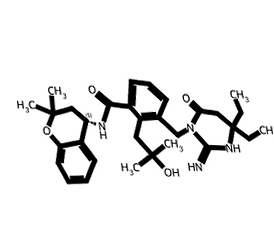 CCC1(CC)CC(=O)N(Cc2cccc(C(=O)N[C@H]3CC(C)(C)Oc4ccccc43)c2CC(C)(C)O)C(=N)N1